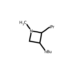 CCCCC1CN(C)C1C(C)C